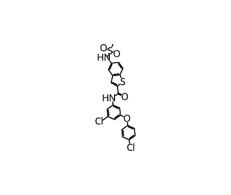 CS(=O)(=O)Nc1ccc2sc(C(=O)Nc3cc(Cl)cc(Oc4ccc(Cl)cc4)c3)cc2c1